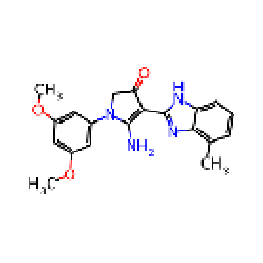 COc1cc(OC)cc(N2CC(=O)C(c3nc4c(C)cccc4[nH]3)=C2N)c1